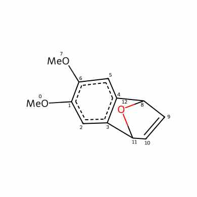 COc1cc2c(cc1OC)C1C=CC2O1